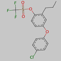 CCCc1cc(Oc2ccc(Cl)cc2)ccc1OS(=O)(=O)C(F)(F)F